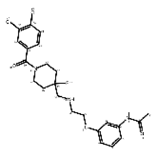 CC(=O)Nc1cccc(OCCNCC2(F)CCN(C(=O)c3ccc(Cl)c(Cl)c3)CC2)c1